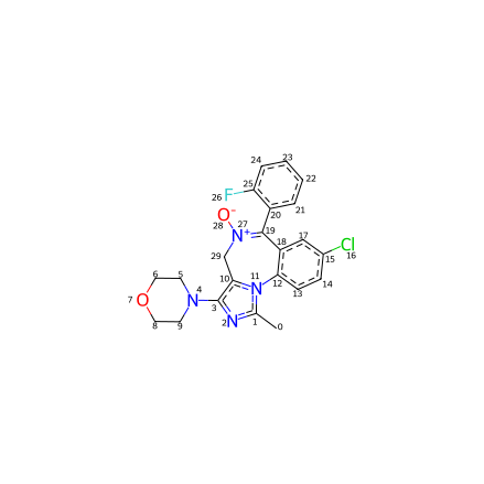 Cc1nc(N2CCOCC2)c2n1-c1ccc(Cl)cc1C(c1ccccc1F)=[N+]([O-])C2